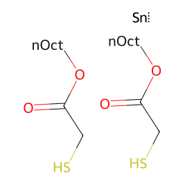 CCCCCCCCOC(=O)CS.CCCCCCCCOC(=O)CS.[Sn]